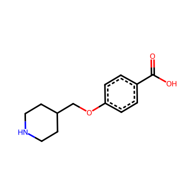 O=C(O)c1ccc(OCC2CCNCC2)cc1